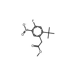 COC(=O)Cc1cc([N+](=O)[O-])c(F)cc1C(C)(C)C